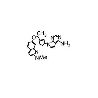 CNc1ccc2ccc(OC(C)C3=CC(n4ccc5c(N)ncnc54)CC3)cc2n1